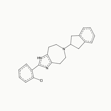 Clc1ccccc1-c1nc2c([nH]1)CCN(C1Cc3ccccc3C1)CC2